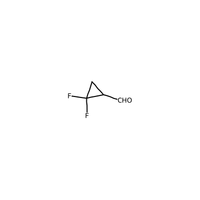 O=CC1CC1(F)F